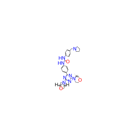 C[C@@H]1COCCN1c1nc(-c2ccc(NC(=O)Nc3ccc(CN4CCCC4)cc3)cc2)nc(N2C[C@@H]3C[C@H]2CO3)n1